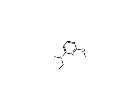 CCN(C)c1cccc(OC)n1